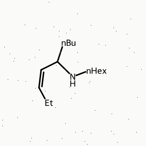 CC/C=C\C(CCCC)NCCCCCC